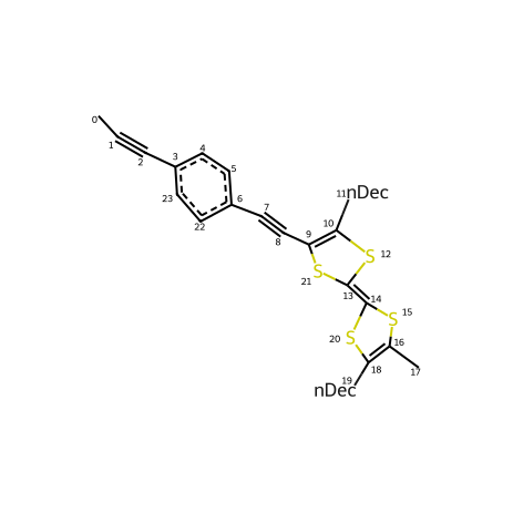 CC#Cc1ccc(C#CC2=C(CCCCCCCCCC)S/C(=C3\SC(C)=C(CCCCCCCCCC)S3)S2)cc1